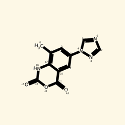 Cc1cc(-n2cncn2)cc2c(=O)oc(=O)[nH]c12